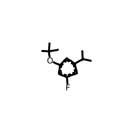 C[C](C)c1cc(F)cc(OC(C)(C)C)c1